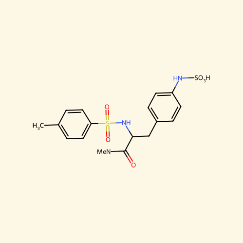 CNC(=O)C(Cc1ccc(NS(=O)(=O)O)cc1)NS(=O)(=O)c1ccc(C)cc1